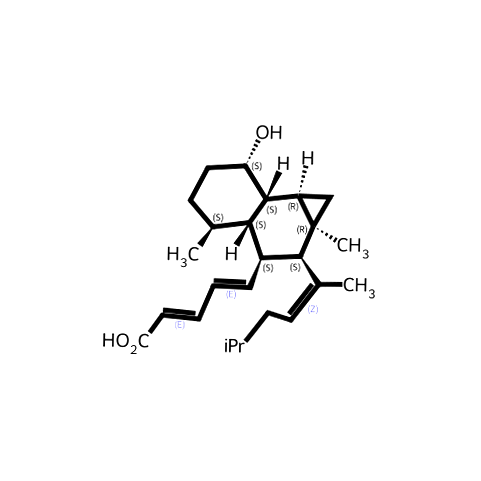 C/C(=C/CC(C)C)[C@H]1[C@@H](/C=C/C=C/C(=O)O)[C@H]2[C@@H]([C@H]3C[C@]31C)[C@@H](O)CC[C@@H]2C